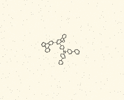 c1ccc(-c2ccc(N(c3ccc(-c4ccccc4)cc3)c3ccc(-c4cc(-c5ccc6c7ccccc7c7ccccc7c6c5)cc5c4oc4ccccc45)cc3)cc2)cc1